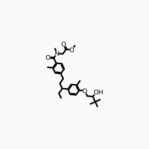 CCC(CCc1ccc(C(=O)N(C)CC(=O)OC)c(C)c1)c1ccc(OCC(O)C(C)(C)C)c(C)c1